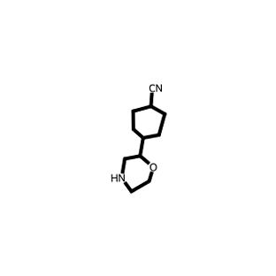 N#CC1CCC(C2CNCCO2)CC1